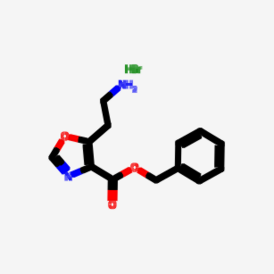 Br.NCCc1ocnc1C(=O)OCc1ccccc1